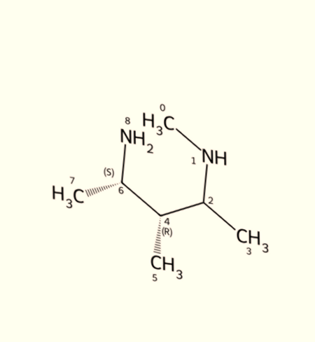 CNC(C)[C@H](C)[C@H](C)N